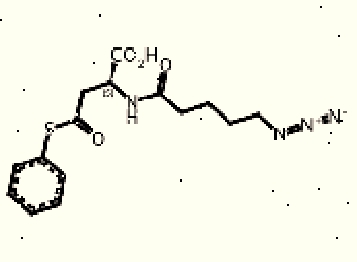 [N-]=[N+]=NCCCCC(=O)N[C@@H](CC(=O)Sc1ccccc1)C(=O)O